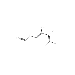 CC(C)=C(C)/C(N)=C/NC=N